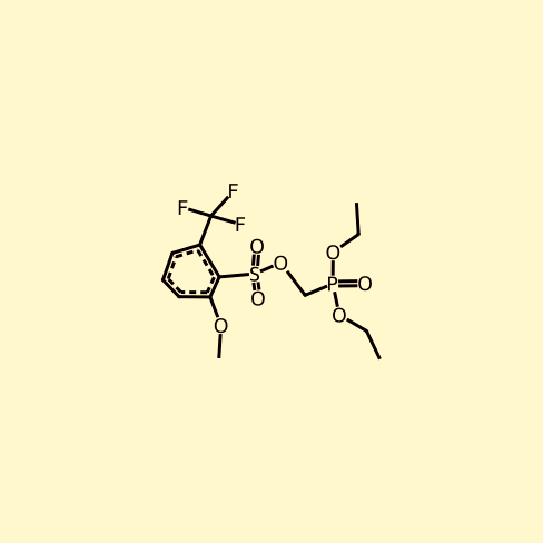 CCOP(=O)(COS(=O)(=O)c1c(OC)cccc1C(F)(F)F)OCC